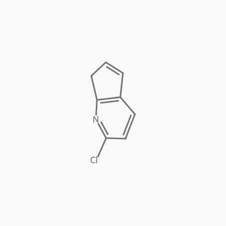 Clc1ccc2c(n1)CC=C2